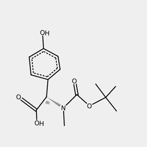 CN(C(=O)OC(C)(C)C)[C@H](C(=O)O)c1ccc(O)cc1